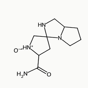 NC(=O)C1CC2(C[NH+]1[O-])NCC1CCCN12